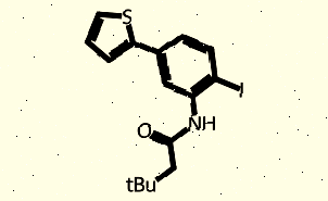 CC(C)(C)CC(=O)Nc1cc(-c2cccs2)ccc1I